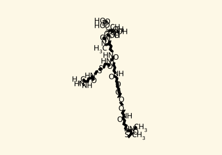 CC(=O)N[C@@H]1[C@H](CCCCC(=O)NCCOCCOCCOCCOCCC(=O)NCCCC[C@H](NC(=O)CCSSCCNC(=O)CCC2(C)NN2)C(=O)NCCCc2cn([C@@H](O)O[C@H](COP(=O)(O)O)[C@@H](C)OP(=O)(O)O)c(=O)nc2C)SC[C@@H]1C